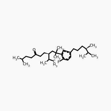 CC(C)CCC(=O)CC[C@@H](CC(C)(C)c1cc(CCC[C@@H](C)C(C)C)ccc1F)C(C)C